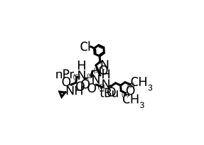 CCC[C@H](NC(=O)[C@@H]1C[C@]2(CC(c3cccc(Cl)c3)=NO2)CN1C(=O)[C@@H](NC(=O)CC1C[C@@H](C)O[C@@H](C)C1)C(C)(C)C)C(=O)C(=O)NC1CC1